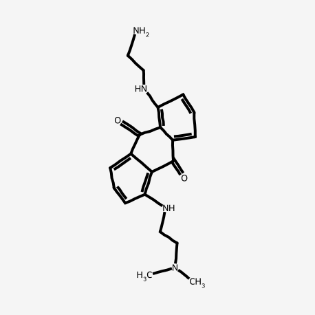 CN(C)CCNc1cccc2c1C(=O)c1cccc(NCCN)c1C2=O